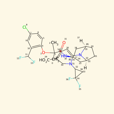 CC(C)(Oc1ccc(Cl)cc1C(F)F)C(=O)N[C@H]1C[C@H]2CC[C@@H](C1)N2C1=CC=C(C(=O)O)CN1C1CC1(F)F